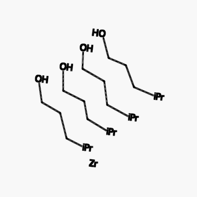 CC(C)CCCO.CC(C)CCCO.CC(C)CCCO.CC(C)CCCO.[Zr]